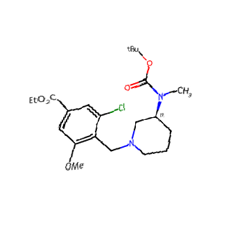 CCOC(=O)c1cc(Cl)c(CN2CCC[C@H](N(C)C(=O)OC(C)(C)C)C2)c(OC)c1